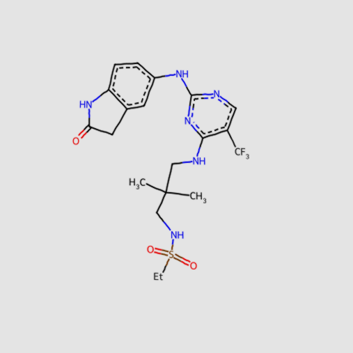 CCS(=O)(=O)NCC(C)(C)CNc1nc(Nc2ccc3c(c2)CC(=O)N3)ncc1C(F)(F)F